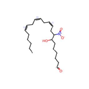 CCCCC/C=C\C/C=C\C/C=C\CC(C(O)CCCCC[C]=O)[N+](=O)[O-]